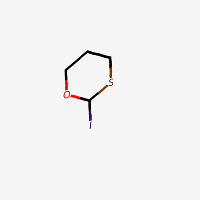 IC1OCCCS1